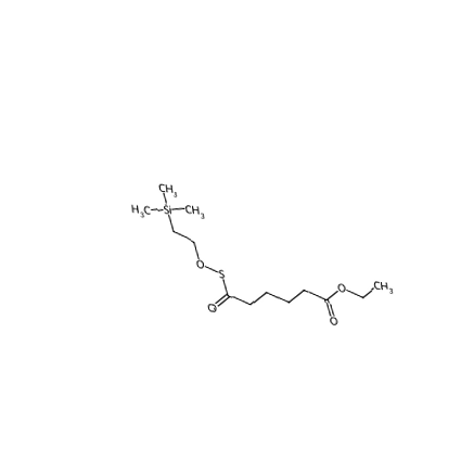 CCOC(=O)CCCCC(=O)SOCC[Si](C)(C)C